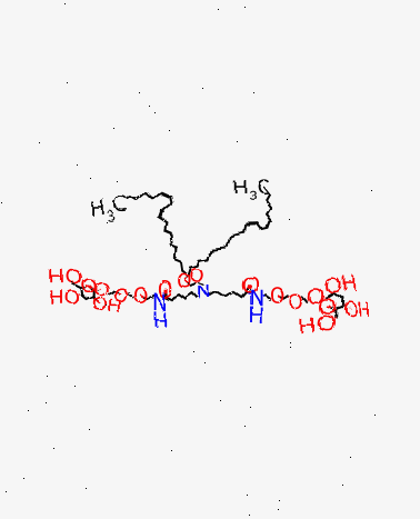 CCCCC/C=C\C/C=C\CCCCCCCCC1(CCCCCCCC/C=C\C/C=C\CCCCC)OC[C@H](CN(CCCCCC(=O)NCCOCCOCCO[C@H]2OC(CO)[C@@H](O)CC2O)CCCCCC(=O)NCCOCCOCCO[C@H]2OC(CO)[C@@H](O)CC2O)O1